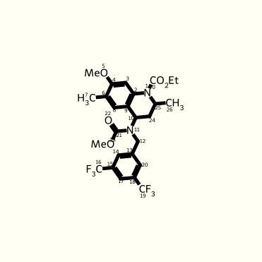 CCOC(=O)N1c2cc(OC)c(C)cc2C(N(Cc2cc(C(F)(F)F)cc(C(F)(F)F)c2)C(=O)OC)CC1C